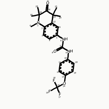 CN1c2ccc(NC(=O)Nc3ccc(OC(F)(F)F)cc3)cc2C(C)(C)C(=O)C1(C)C